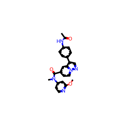 COc1cc(N(C)C(=O)c2ccn3ncc(-c4ccc(NC(C)=O)cc4)c3c2)ccn1